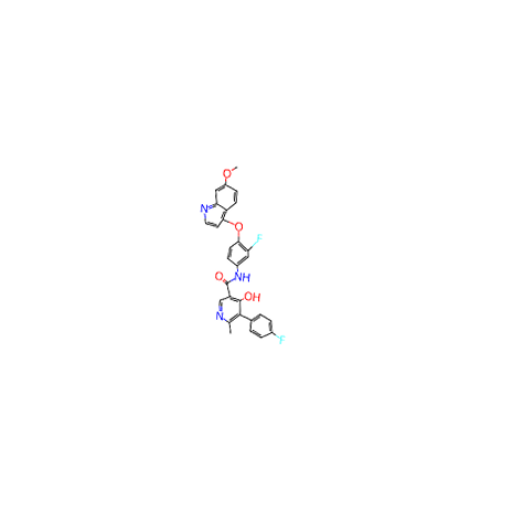 COc1ccc2c(Oc3ccc(NC(=O)c4cnc(C)c(-c5ccc(F)cc5)c4O)cc3F)ccnc2c1